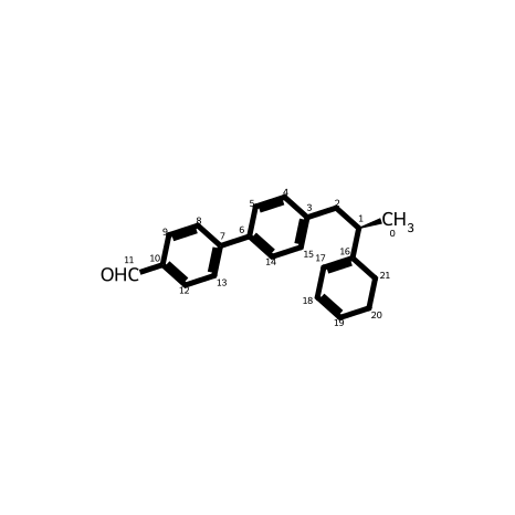 C[C@H](Cc1ccc(-c2ccc(C=O)cc2)cc1)C1=CC=CCC1